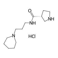 Cl.O=C(NCCCN1CCCCC1)[C@@H]1CCNC1